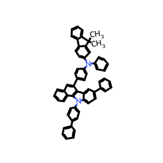 CC1(C)c2ccccc2-c2ccc(N(c3ccccc3)c3ccc(-c4cc5ccccc5c5c4c4cc(-c6ccccc6)ccc4n5-c4ccc(-c5ccccc5)cc4)cc3)cc21